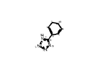 C1=CC(c2nnn[nH]2)=CCC1